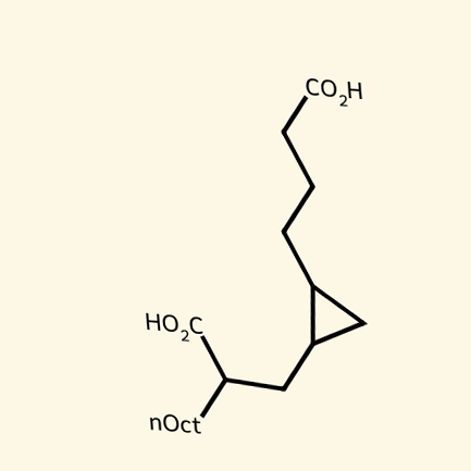 CCCCCCCCC(CC1CC1CCCC(=O)O)C(=O)O